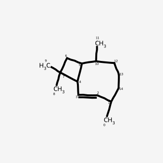 CC1/C=C/C2C(CC2(C)C)C(C)CCC1